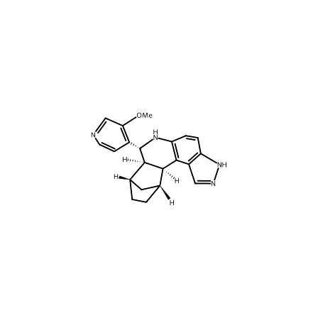 COc1cnccc1[C@@H]1Nc2ccc3[nH]ncc3c2[C@H]2[C@@H]3CC[C@@H](C3)[C@H]21